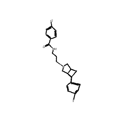 O=C(NCCCN1CC2CC(c3ccc(F)cc3)C2C1)c1ccc(Cl)cc1